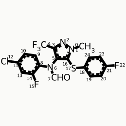 Cn1nc(C(F)(F)F)c(N(C=O)c2ccc(Cl)cc2F)c1Sc1ccc(F)cc1